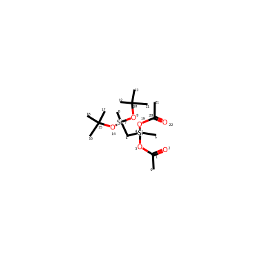 CC(=O)O[Si](C)(C[Si](C)(OC(C)(C)C)OC(C)(C)C)OC(C)=O